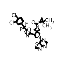 CC1(C)C[C@@H]1C(=O)N1CC2(C1)CN(c1ncnc3ncsc13)CC2c1nnc(C(F)(F)c2ccc(Cl)c(Cl)c2)o1